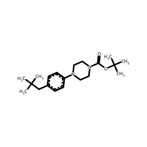 CC(C)(C)Cc1ccc(N2CCN(C(=O)OC(C)(C)C)CC2)cc1